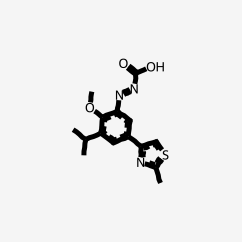 COc1c(N=NC(=O)O)cc(-c2csc(C)n2)cc1C(C)C